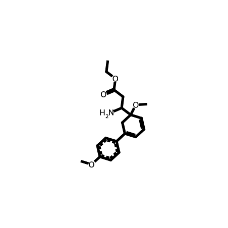 CCOC(=O)CC(N)C1(OC)C=CC=C(c2ccc(OC)cc2)C1